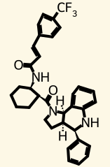 O=C(/C=C/c1ccc(C(F)(F)F)cc1)N[C@@H]1CCCC[C@@H]1C(=O)N1CC[C@@H]2[C@H](c3ccccc3)Nc3ccccc3[C@@H]21